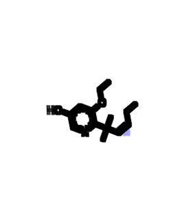 CC/C=C\C(C)(C)c1ncc(O)cc1OCC